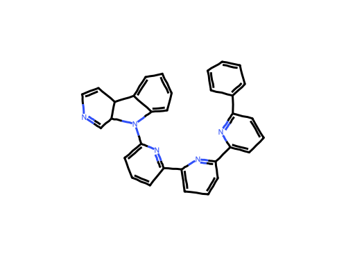 C1=CC2c3ccccc3N(c3cccc(-c4cccc(-c5cccc(-c6ccccc6)n5)n4)n3)C2C=N1